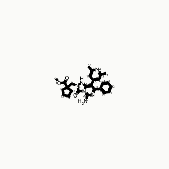 COC(=O)C1(Cn2[nH]c3c(-c4cc(C)nc(C)c4)c(-c4ccccc4)nc(N)[n+]3c2=O)CCCC1